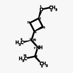 CO[C@H]1C[C@@H]([C@@H](C)NC(C)C)C1